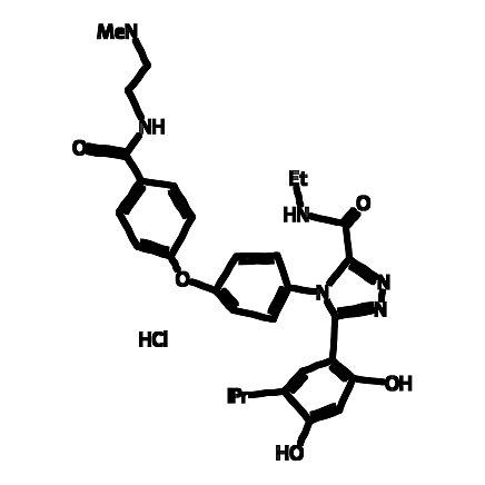 CCNC(=O)c1nnc(-c2cc(C(C)C)c(O)cc2O)n1-c1ccc(Oc2ccc(C(=O)NCCNC)cc2)cc1.Cl